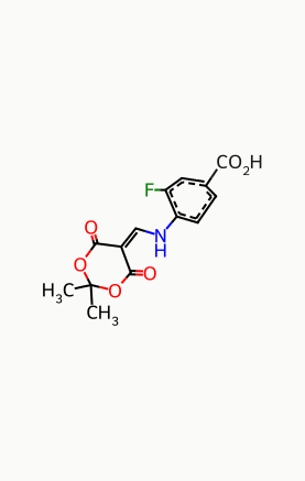 CC1(C)OC(=O)C(=CNc2ccc(C(=O)O)cc2F)C(=O)O1